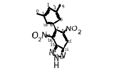 Cc1cc(C)cc(-c2c([N+](=O)[O-])cc3n[nH]nc3c2[N+](=O)[O-])c1